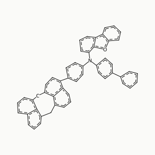 c1ccc(-c2ccc(N(c3ccc(-c4ccc5c6c(cccc46)Cc4cccc6cccc(c46)C5)cc3)c3cccc4c3oc3ccccc34)cc2)cc1